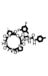 Cc1ccc(NC(=O)N[C@@H](Cc2cc(F)cc(F)c2)C(=O)N[C@@H]2C(=O)N3CCC[C@H]3C(=O)N(C)[C@@H](C)C(=O)N[C@@H](C)C(=O)N3C[C@H](C)CC3(C)C(=O)O[C@H]2C)cc1